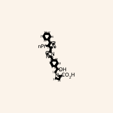 CCCc1c(-c2nc(-c3ccc([C@@H](O)CN4CCC4C(=O)O)cc3)no2)noc1-c1ccccc1